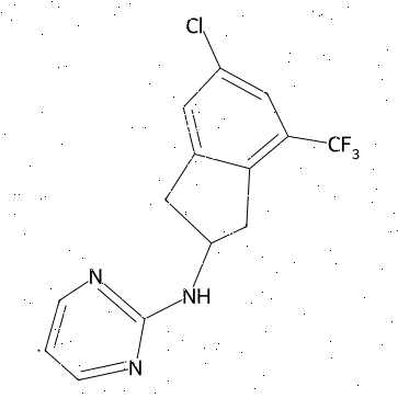 FC(F)(F)c1cc(Cl)cc2c1CC(Nc1nc[c]cn1)C2